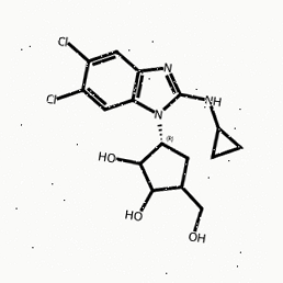 OCC1C[C@@H](n2c(NC3CC3)nc3cc(Cl)c(Cl)cc32)C(O)C1O